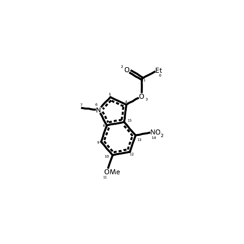 CCC(=O)Oc1cn(C)c2cc(OC)cc([N+](=O)[O-])c12